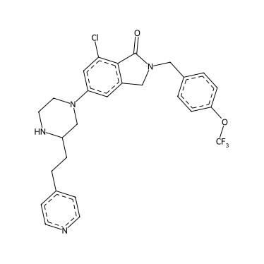 O=C1c2c(Cl)cc(N3CCNC(CCc4ccncc4)C3)cc2CN1Cc1ccc(OC(F)(F)F)cc1